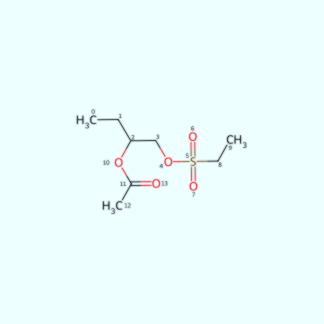 CCC(COS(=O)(=O)CC)OC(C)=O